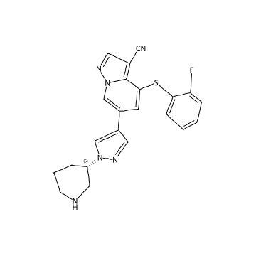 N#Cc1cnn2cc(-c3cnn([C@H]4CCCNC4)c3)cc(Sc3ccccc3F)c12